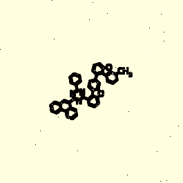 CC1CC=Cc2c1oc1cccc(-c3ccc4c(c3)oc3cccc(-c5nc(-c6ccccc6)nc(-c6cc7ccccc7c7ccccc67)n5)c34)c21